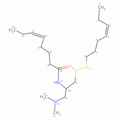 CC/C=C\CCCSSCC(CN(C)C)NC(=O)CCC/C=C\CC